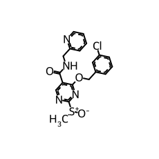 C[S+]([O-])c1ncc(C(=O)NCc2ccccn2)c(OCc2cccc(Cl)c2)n1